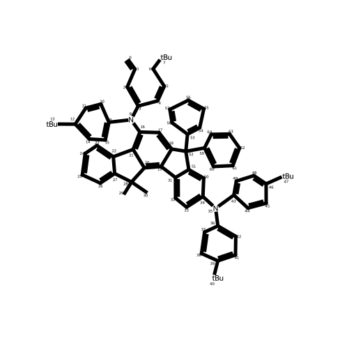 C=C/C=C(\C=C/CC(C)(C)C)N(c1ccc(C(C)(C)C)cc1)c1cc2c(c3c1-c1ccccc1C3(C)C)-c1ccc(N(c3ccc(C(C)(C)C)cc3)c3ccc(C(C)(C)C)cc3)cc1C2(c1ccccc1)c1ccccc1